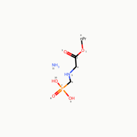 CCCOC(=O)CNCP(=O)(O)O.N